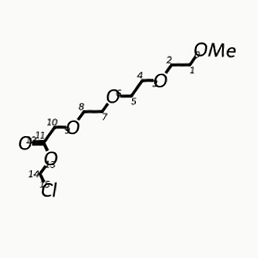 COCCOCCOCCOCC(=O)OCCl